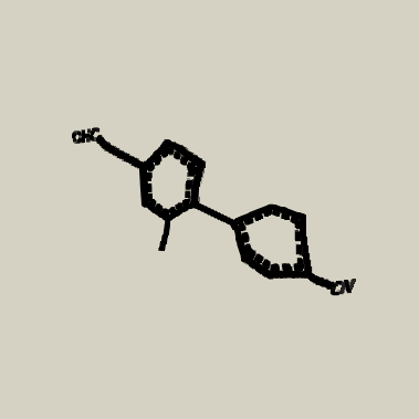 Cc1cc(C=O)ccc1-c1ccc(C#N)cc1